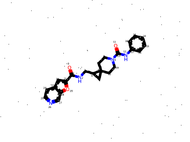 O=C(NCC1CC12CCN(C(=O)Nc1ccccc1)CC2)c1cc2ccncc2o1